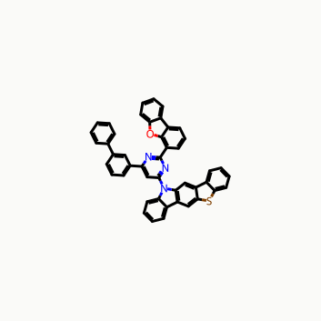 c1ccc(-c2cccc(-c3cc(-n4c5ccccc5c5cc6sc7ccccc7c6cc54)nc(-c4cccc5c4oc4ccccc45)n3)c2)cc1